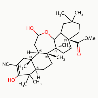 COC(=O)[C@]12CCC(C)(C)CC1C1OC(O)C[C@@H]3[C@@]4(C)CC(C#N)=C(O)C(C)(C)[C@@H]4CC[C@@]3(C)[C@]1(C)CC2